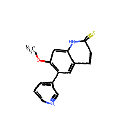 COc1cc2c(cc1-c1cccnc1)CCC(=S)N2